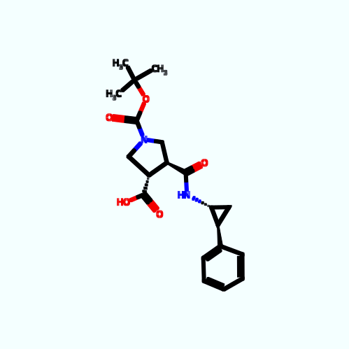 CC(C)(C)OC(=O)N1C[C@@H](C(=O)O)[C@H](C(=O)N[C@@H]2C[C@H]2c2ccccc2)C1